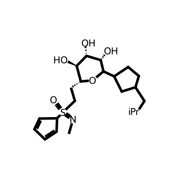 CN=S(=O)(CC[C@H]1OC(C2CCC(CC(C)C)C2)[C@@H](O)[C@@H](O)[C@@H]1O)C1C=CC=C1